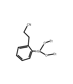 CCO[SiH](OCC)c1ccccc1CCC#N